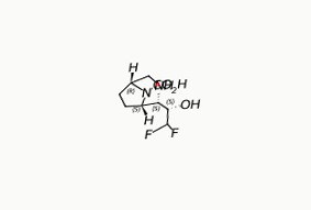 O=C(O)N1[C@@H]2CC[C@H]1[C@@H]([C@H](O)C(F)F)NC2